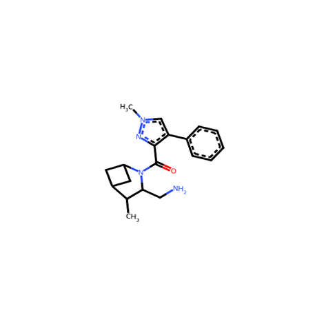 CC1C2CC(C2)N(C(=O)c2nn(C)cc2-c2ccccc2)C1CN